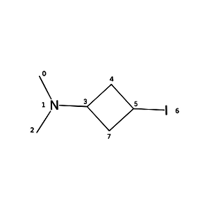 CN(C)C1CC(I)C1